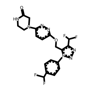 O=C1CN(c2ccc(OCc3c(C(F)F)nnn3-c3ccc(C(F)F)cc3)nn2)CCN1